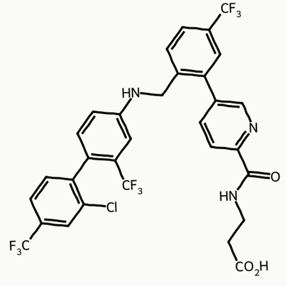 O=C(O)CCNC(=O)c1ccc(-c2cc(C(F)(F)F)ccc2CNc2ccc(-c3ccc(C(F)(F)F)cc3Cl)c(C(F)(F)F)c2)cn1